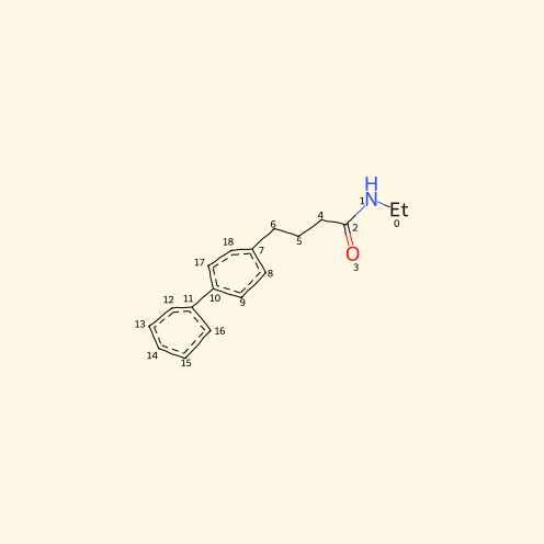 CCNC(=O)CCCc1ccc(-c2ccccc2)cc1